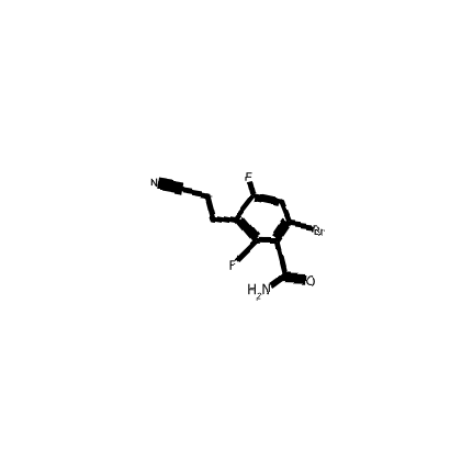 N#C[CH]Cc1c(F)cc(Br)c(C(N)=O)c1F